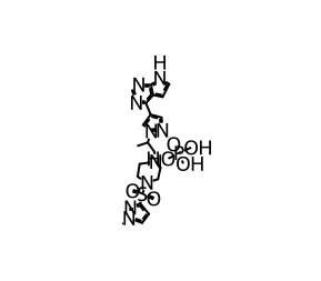 CC(CN1CCN(S(=O)(=O)c2ccn(C)n2)CC1)n1cc(-c2ncnc3[nH]ccc23)cn1.O=P(O)(O)O